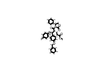 COC(=O)CC[C@@H](C(=O)N1C(=O)OC[C@@H]1c1ccccc1)[C@H](Nc1ccc(F)cc1)c1ccc(OCc2ccccc2)cc1